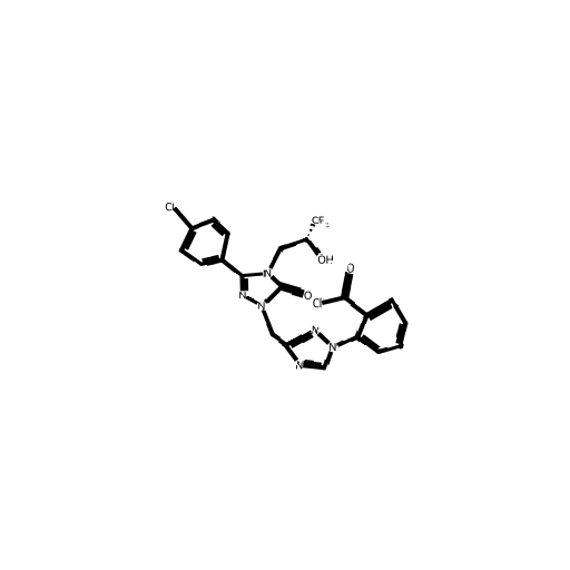 O=C(Cl)c1ccccc1-n1cnc(Cn2nc(-c3ccc(Cl)cc3)n(C[C@@H](O)C(F)(F)F)c2=O)n1